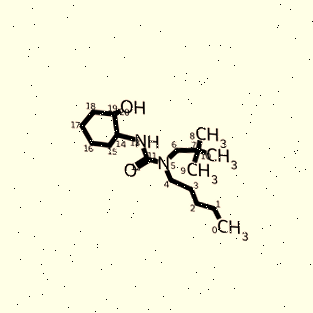 CCCCCN(CC(C)(C)C)C(=O)NC1CCCCC1O